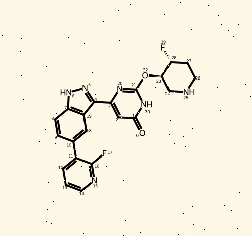 O=c1cc(-c2n[nH]c3ccc(-c4cccnc4F)cc23)nc(O[C@@H]2CNCC[C@H]2F)[nH]1